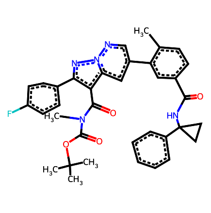 Cc1ccc(C(=O)NC2(c3ccccc3)CC2)cc1-c1cnn2nc(-c3ccc(F)cc3)c(C(=O)N(C)C(=O)OC(C)(C)C)c2c1